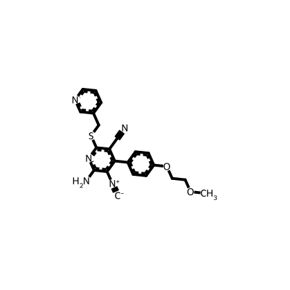 [C-]#[N+]c1c(N)nc(SCc2cccnc2)c(C#N)c1-c1ccc(OCCOC)cc1